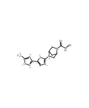 CCNC(=O)N1CC2CC1CN2c1ncc(-c2noc(C(F)(F)F)n2)s1